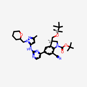 Cc1cc(Nc2nccc(-c3cc(C#N)c4c(c3)[C@@](C)(CO[Si](C)(C)C(C)(C)C)CN4C(=O)OC(C)(C)C)n2)n(CC2CCCCO2)n1